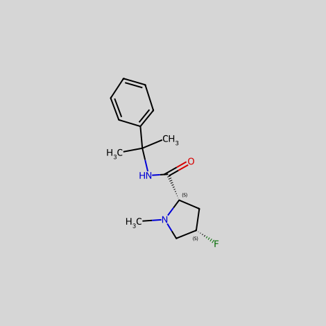 CN1C[C@@H](F)C[C@H]1C(=O)NC(C)(C)c1ccccc1